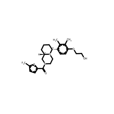 Cc1c(OCCO)ccc([C@H]2CCC[C@H]3CN(C(=O)c4ccc(C(F)(F)F)s4)CCN32)c1C